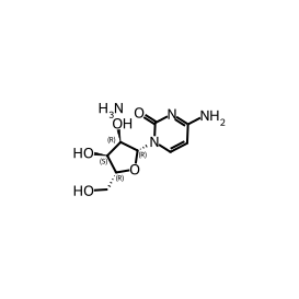 N.Nc1ccn([C@@H]2O[C@H](CO)[C@@H](O)[C@H]2O)c(=O)n1